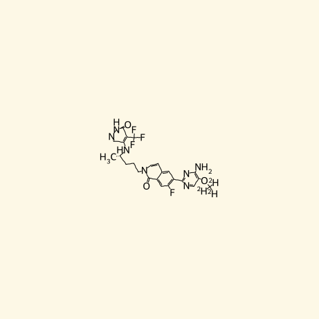 [2H]C([2H])([2H])Oc1cnc(-c2cc3ccn(CCC[C@H](C)Nc4cn[nH]c(=O)c4C(F)(F)F)c(=O)c3cc2F)nc1N